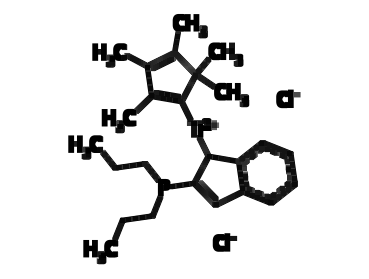 CCCP(CCC)C1=Cc2ccccc2[CH]1[Ti+2][C]1=C(C)C(C)=C(C)C1(C)C.[Cl-].[Cl-]